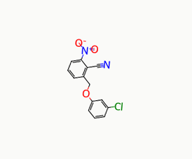 N#Cc1c(COc2cccc(Cl)c2)cccc1[N+](=O)[O-]